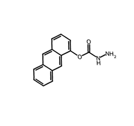 NNC(=O)Oc1cccc2cc3ccccc3cc12